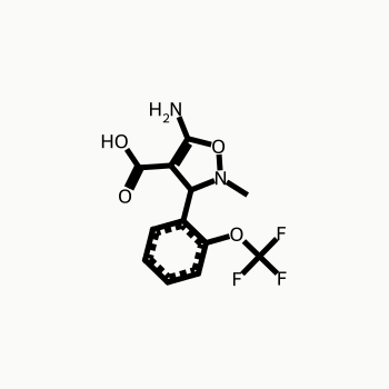 CN1OC(N)=C(C(=O)O)C1c1ccccc1OC(F)(F)F